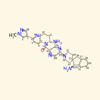 Cn1cc(-c2ccc3c(n2)CCCN3C(=O)c2ncc(N3CCC4(CC3)Cc3ccccc3[C@H]4N)nc2N)cn1